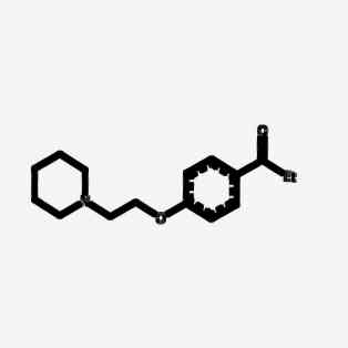 CCC(=O)c1ccc(OCCN2CCCCC2)cc1